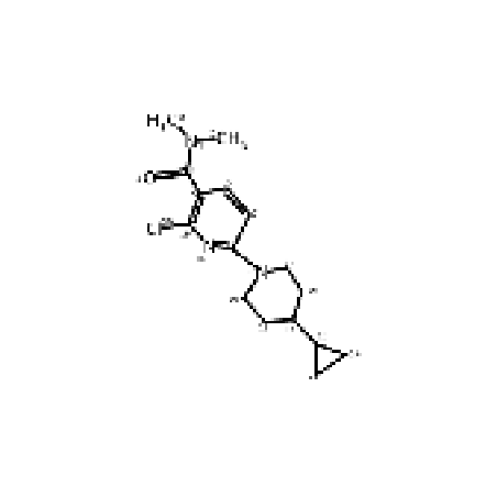 CN(C)C(=O)c1ccc(N2CCC(C3CC3)CC2)nc1Cl